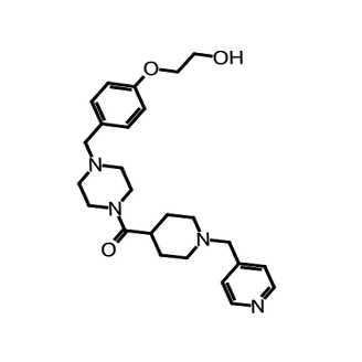 O=C(C1CCN(Cc2ccncc2)CC1)N1CCN(Cc2ccc(OCCO)cc2)CC1